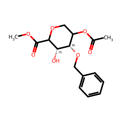 COC(=O)C1OCC(OC(C)=O)[C@H](OCc2ccccc2)[C@@H]1O